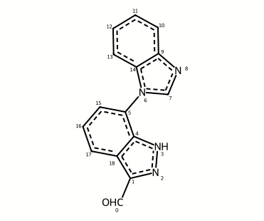 O=Cc1n[nH]c2c(-n3cnc4ccccc43)cccc12